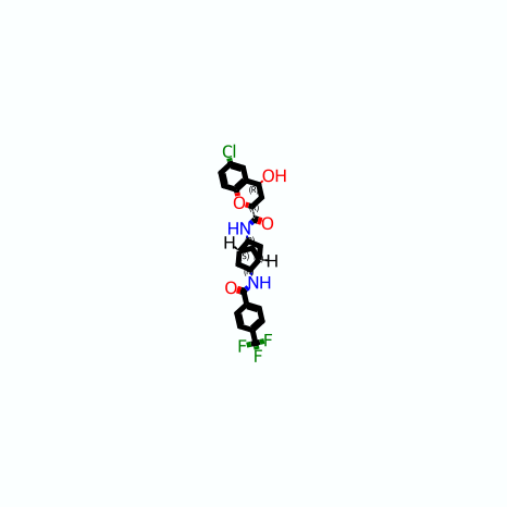 O=C(N[C@@H]1C[C@@H]2C[C@H]1C[C@H]2NC(=O)[C@H]1C[C@@H](O)c2cc(Cl)ccc2O1)c1ccc(C(F)(F)F)cc1